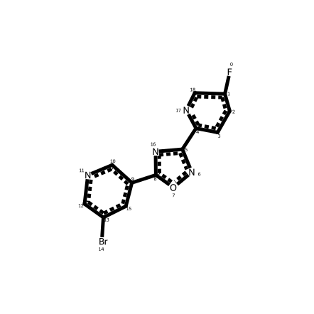 Fc1ccc(-c2noc(-c3cncc(Br)c3)n2)nc1